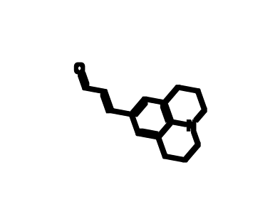 O=CC=Cc1cc2c3c(c1)CCCN3CCC2